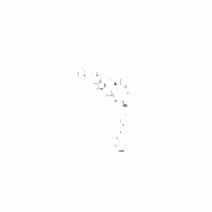 CO[C@H]1C[C@H]2C=CC3C4[C@H](O)[C@@H](C)[C@@H](OC(=O)c5ccc[nH]5)[C@@H]3O[C@]42/C(C)=C/[C@@H](C)[C@@H]([C@@H](C)OC(=O)C(=O)NCCc2cccc3ccccc23)OC1=O